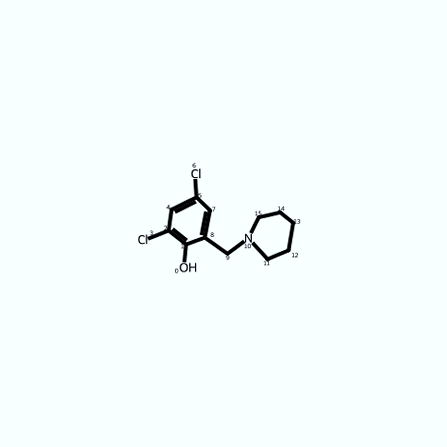 Oc1c(Cl)cc(Cl)cc1CN1CCCCC1